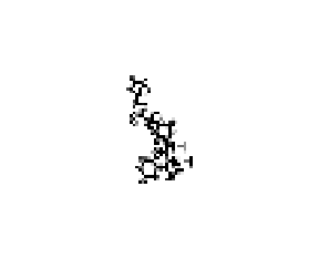 O=C(OCC1CCCO1)c1cc2cc(NC(=O)[C@H]3NCCC3C3CCCCC3)ccc2o1